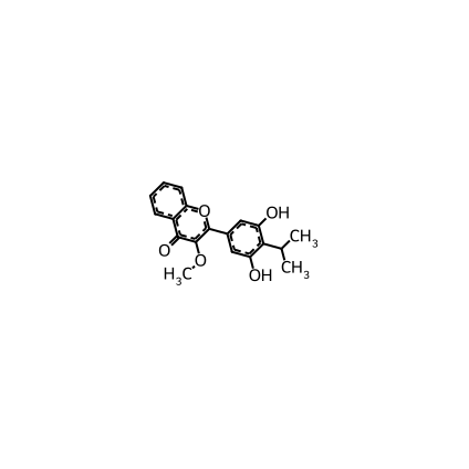 COc1c(-c2cc(O)c(C(C)C)c(O)c2)oc2ccccc2c1=O